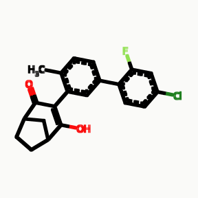 Cc1ccc(-c2ccc(Cl)cc2F)cc1C1=C(O)C2CCC(C2)C1=O